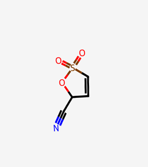 N#CC1C=CS(=O)(=O)O1